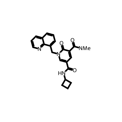 CNC(=O)c1cc(C(=O)NC2CCC2)cn(Cc2cccc3cccnc23)c1=O